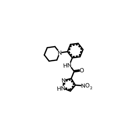 O=C(Nc1ccccc1N1CCCCC1)c1n[nH]cc1[N+](=O)[O-]